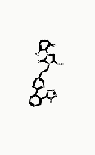 CCCCc1cn(-c2c(CC)cccc2C(C)=O)c(=O)n1CCc1ccc(-c2ccccc2-c2nnn[nH]2)nc1